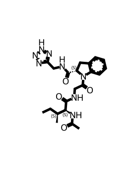 CC[C@H](C)[C@H](NC(C)=O)C(=O)NCC(=O)N1c2ccccc2C[C@H]1C(=O)NCc1nn[nH]n1